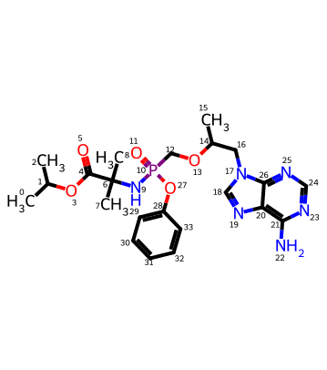 CC(C)OC(=O)C(C)(C)NP(=O)(COC(C)Cn1cnc2c(N)ncnc21)Oc1ccccc1